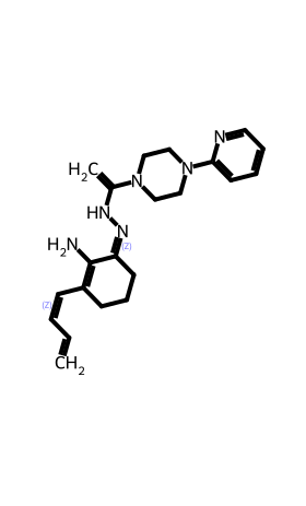 C=C/C=C\C1=C(N)C(=N\NC(=C)N2CCN(c3ccccn3)CC2)/CCC1